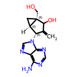 C=C1C(O)[C@]2(CO)C[C@@H]2[C@H]1n1cnc2c(N)ncnc21